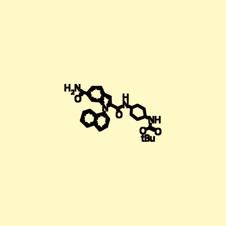 CC(C)(C)OC(=O)NC1CCC(NC(=O)c2cc3ccc(C(N)=O)cc3n2-c2cccc3ccccc23)CC1